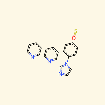 O=S.c1ccc(-n2ccnc2)cc1.c1ccncc1.c1ccncc1